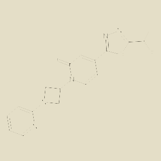 O=c1cc(-c2nnc(C(F)F)o2)ccn1C1CN(c2ccccn2)C1